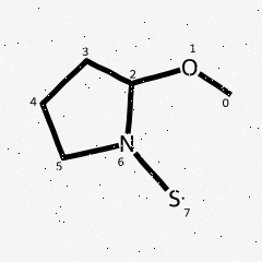 COC1CCCN1[S]